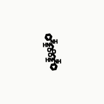 N=C(CC(=O)OC(=O)CC(=N)Nc1ccccc1)Nc1ccccc1